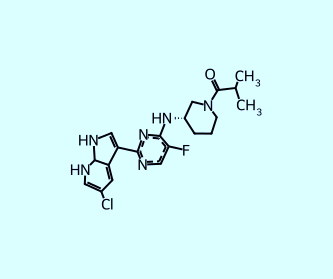 CC(C)C(=O)N1CCC[C@H](Nc2nc(C3=CNC4NC=C(Cl)C=C34)ncc2F)C1